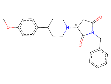 COc1ccc(C2CCN([C@@H]3CC(=O)N(Cc4ccccc4)C3=O)CC2)cc1